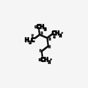 [CH2]CCC([CH2])C(C)C